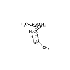 CCCCCCCCOC1=C(C)C(C)C(O)C=C1CCC(C)CC/C=C(\C)CCCC(C)(O)CCCCCC